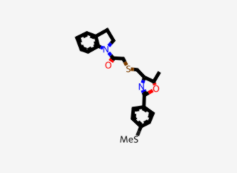 CSc1ccc(C2=NC(CSCC(=O)N3CCc4ccccc43)C(C)O2)cc1